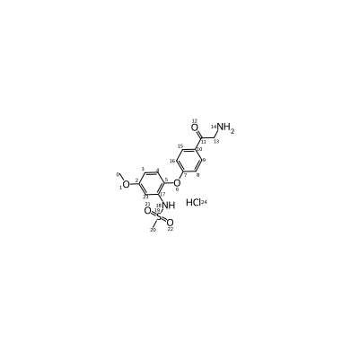 COc1ccc(Oc2ccc(C(=O)CN)cc2)c(NS(C)(=O)=O)c1.Cl